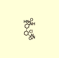 O=c1[nH]c2ccc(-c3cccc(-c4nnco4)c3Cl)cc2[nH]1